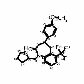 COc1ccc(C2CC(=O)N(CC3CCCN3)c3cccc(C(F)(F)F)c3C2)cc1